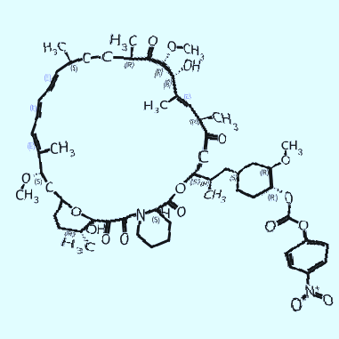 CO[C@H]1CC2CC[C@@H](C)C(O)(O2)C(=O)C(=O)N2CCCC[C@H]2C(=O)O[C@H]([C@H](C)C[C@@H]2CC[C@@H](OC(=O)Oc3ccc([N+](=O)[O-])cc3)[C@H](OC)C2)CC(=O)[C@H](C)/C=C(\C)[C@@H](O)[C@@H](OC)C(=O)[C@H](C)CC[C@H](C)/C=C/C=C/C=C/1C